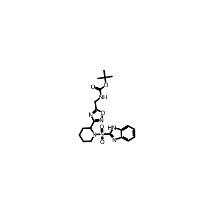 CC(C)(C)OC(=O)NCc1nc(C2CCCCN2S(=O)(=O)c2nc3ccccc3[nH]2)no1